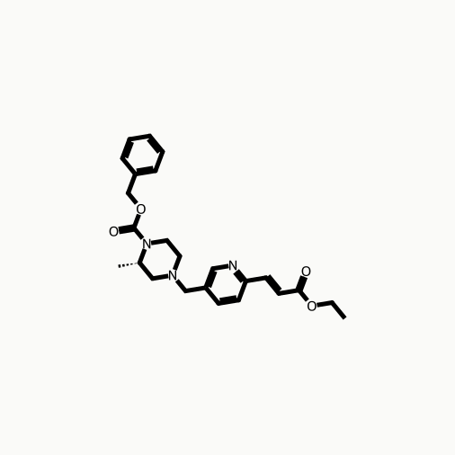 CCOC(=O)/C=C/c1ccc(CN2CCN(C(=O)OCc3ccccc3)[C@@H](C)C2)cn1